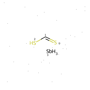 S=CS.[SbH3]